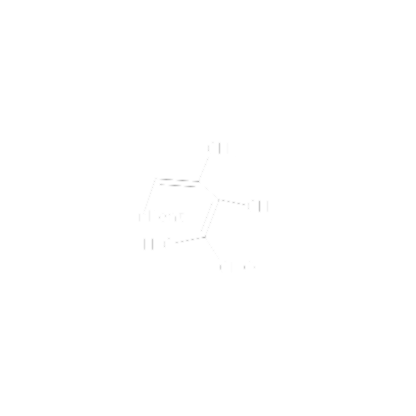 CCCCCC=C(C)C(C)=C(C)C=O